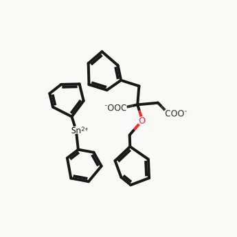 O=C([O-])CC(Cc1ccccc1)(OCc1ccccc1)C(=O)[O-].c1cc[c]([Sn+2][c]2ccccc2)cc1